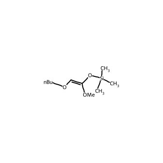 CCCCO/C=C(\OC)O[Si](C)(C)C